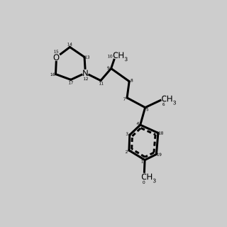 Cc1ccc(C(C)CCC(C)CN2CCOCC2)cc1